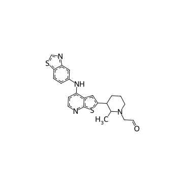 CC1C(c2cc3c(Nc4ccc5scnc5c4)ccnc3s2)CCCN1CC=O